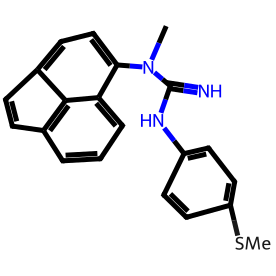 CSc1ccc(NC(=N)N(C)c2ccc3c4c(cccc24)C=C3)cc1